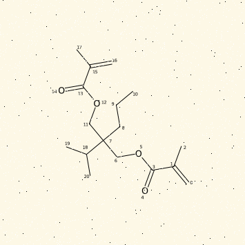 C=C(C)C(=O)OCC(CCC)(COC(=O)C(=C)C)C(C)C